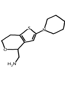 NCC1OCCc2sc(N3CCCCC3)cc21